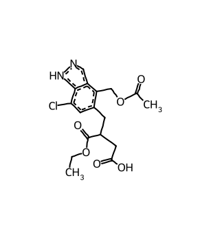 CCOC(=O)C(CC(=O)O)Cc1cc(Cl)c2[nH]ncc2c1COC(C)=O